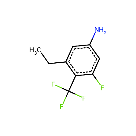 CCc1cc(N)cc(F)c1C(F)(F)F